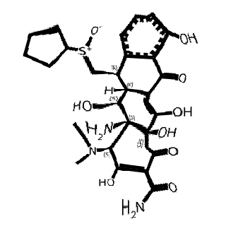 CN(C)[C@@H]1C(O)=C(C(N)=O)C(=O)[C@@]2(O)C(O)=C3C(=O)c4c(O)cccc4[C@H](C[S+]([O-])C4CCCC4)[C@H]3[C@H](O)[C@@]12N